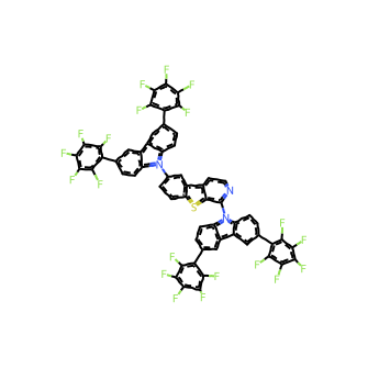 Fc1c(F)c(F)c(-c2ccc3c(c2)c2cc(-c4c(F)c(F)c(F)c(F)c4F)ccc2n3-c2ccc3sc4c(-n5c6ccc(-c7c(F)c(F)c(F)c(F)c7F)cc6c6cc(-c7c(F)c(F)c(F)c(F)c7F)ccc65)nccc4c3c2)c(F)c1F